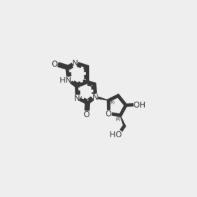 O=c1ncc2cn([C@H]3CC(O)[C@@H](CO)O3)c(=O)nc2[nH]1